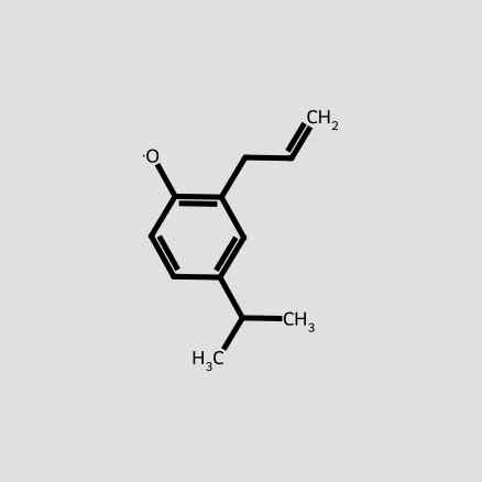 C=CCc1cc(C(C)C)ccc1[O]